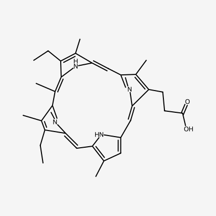 CCC1=C(C)c2nc1cc1[nH]c(cc3nc(cc4[nH]c(c2C)c(CC)c4C)C(C)=C3CCC(=O)O)cc1C